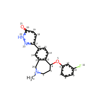 CN1CCC(Oc2cccc(F)c2)c2ccc(-c3ccc(=O)[nH]n3)cc2C1